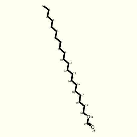 CCCCCCCCCCCCCCCCCCCCCO[C]=O